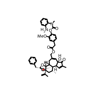 C=C(C)[C@]12C[C@@H](C)[C@@]34O[C@](Cc5ccccc5)(O[C@@H]1[C@@H]3CC(COC(=O)Cc1ccc(OC(=O)N(C)c3ccccc3N)c(OC)c1)=C[C@]1(O)C(=O)C(C)=C[C@@H]41)O2